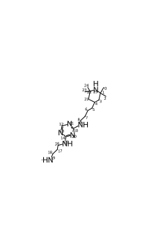 CC1(C)CC(CCCCNc2ncnc(N[CH]CC[NH])n2)CC(C)(C)N1